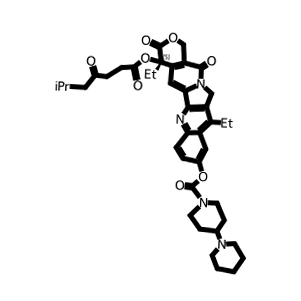 CCc1c2c(nc3ccc(OC(=O)N4CCC(N5CCCCC5)CC4)cc13)-c1cc3c(c(=O)n1C2)COC(=O)[C@@]3(CC)OC(=O)CCC(=O)CC(C)C